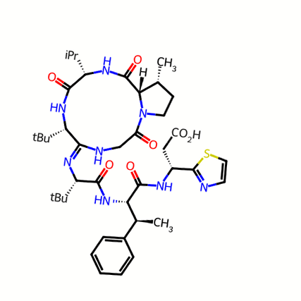 CC(C)[C@@H]1NC(=O)[C@@H]2[C@H](C)CCN2C(=O)CN/C(=N\[C@H](C(=O)N[C@H](C(=O)N[C@H](CC(=O)O)c2nccs2)[C@@H](C)c2ccccc2)C(C)(C)C)[C@H](C(C)(C)C)NC1=O